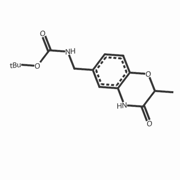 CC1Oc2ccc(CNC(=O)OC(C)(C)C)cc2NC1=O